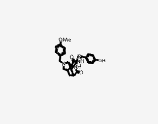 COc1ccc(CN2CC3CC4C(=O)NC3(C(=O)NCc3ccc(O)cc3)C2C4CC(C)C)cc1